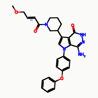 COC/C=C/C(=O)N1CCCC(c2cn(-c3ccc(Oc4ccccc4)cc3)c3c(N)n[nH]c(=O)c23)C1